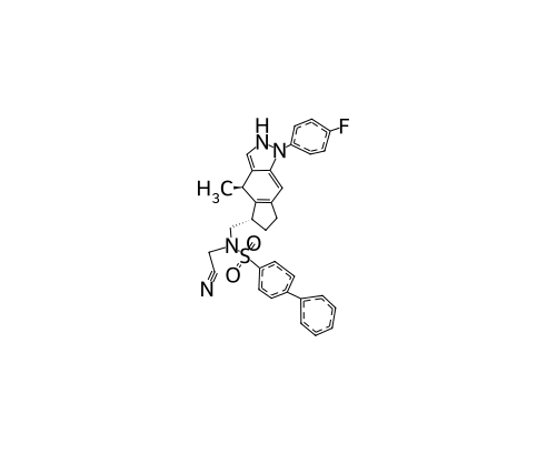 C[C@H]1C2=CNN(c3ccc(F)cc3)C2=CC2=C1[C@@H](CN(CC#N)S(=O)(=O)c1ccc(-c3ccccc3)cc1)CC2